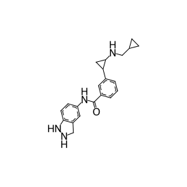 O=C(Nc1ccc2c(c1)CNN2)c1cccc(C2CC2NCC2CC2)c1